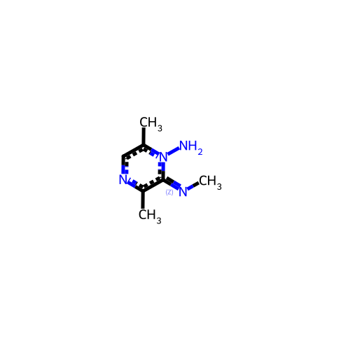 C/N=c1/c(C)ncc(C)n1N